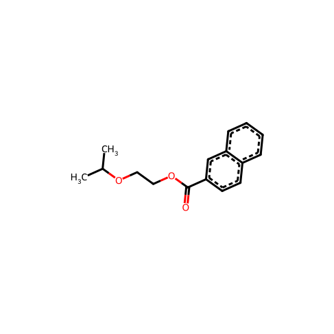 CC(C)OCCOC(=O)c1ccc2ccccc2c1